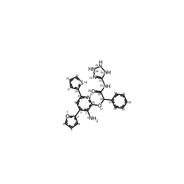 Nc1c(-c2ccco2)cc(-c2cccs2)nc1OC(C(=O)NC1=NNNN1)c1ccccc1